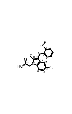 CSc1ccccc1Cc1c(C)n(CC(=O)O)c2ccc(F)cc12